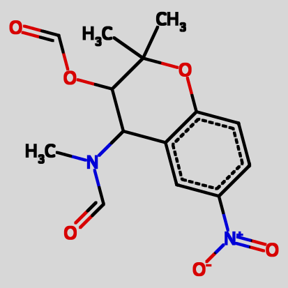 CN(C=O)C1c2cc([N+](=O)[O-])ccc2OC(C)(C)C1OC=O